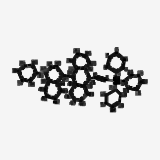 C(#C[Si](c1ccccc1)(c1ccccc1)C1C=CC=CC1)c1c2ccccc2c(-c2ccc(-c3ccccc3)c3ccccc23)c2ccccc12